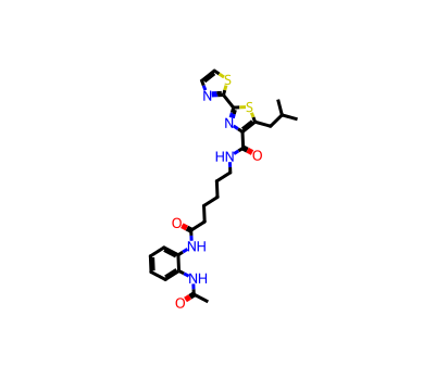 CC(=O)Nc1ccccc1NC(=O)CCCCCNC(=O)c1nc(-c2nccs2)sc1CC(C)C